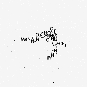 CNc1cc(Oc2ccc(NC(=O)Nc3ccc(CN4CCN(C(C)C)CC4)c(C(F)(F)F)c3)cc2)ncn1.O=C(O)C(F)(F)F